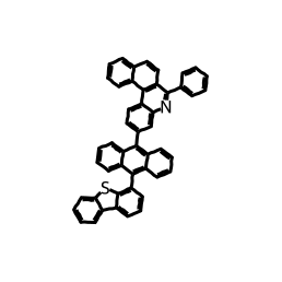 c1ccc(-c2nc3cc(-c4c5ccccc5c(-c5cccc6c5sc5ccccc56)c5ccccc45)ccc3c3c2ccc2ccccc23)cc1